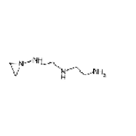 NCCNCCNN1CC1